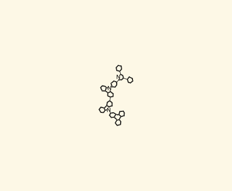 c1ccc(-c2cc(-c3ccccc3)nc(-c3ccc(-n4c5ccccc5c5cc(-c6ccc7c(c6)c6ccccc6n7-c6ccc7c8ccccc8c8ccccc8c7c6)ccc54)cc3)c2)cc1